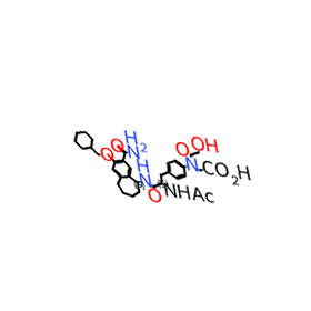 CC(=O)N[C@@H](Cc1ccc(N(CC(=O)O)C(=O)CO)cc1)C(=O)N[C@H]1CCCCc2cc(OCC3CCCCC3)c(C(N)=O)cc21